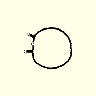 O=C1CCCCCCCCCCCCCCCCC(=O)O1